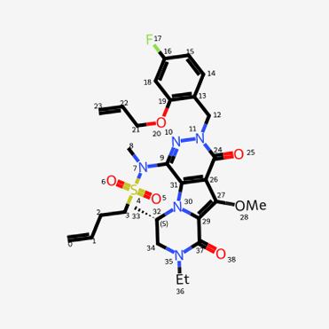 C=CCCS(=O)(=O)N(C)c1nn(Cc2ccc(F)cc2OCC=C)c(=O)c2c(OC)c3n(c12)[C@@H](C)CN(CC)C3=O